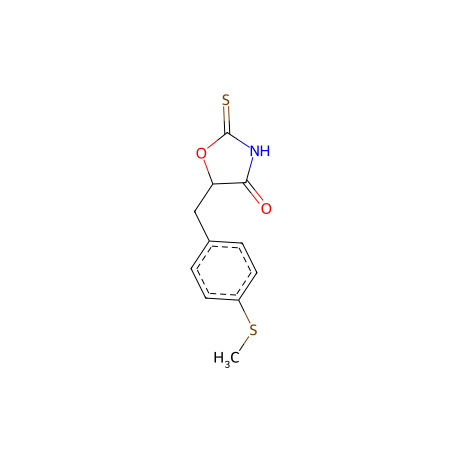 CSc1ccc(CC2OC(=S)NC2=O)cc1